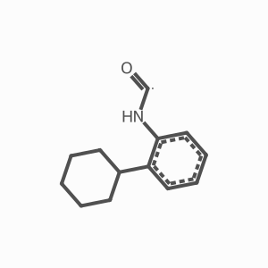 O=[C]Nc1ccccc1C1CCCCC1